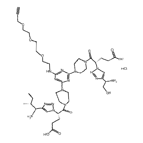 C#CCOCCOCCOCCNc1nc(N2CCN(C(=O)[C@H](CCC(=O)O)n3cc(C(N)CO)nn3)CC2)nc(N2CCN(C(=O)[C@H](CCC(=O)O)n3cc(C(N)[C@H](C)CC)nn3)CC2)n1.Cl